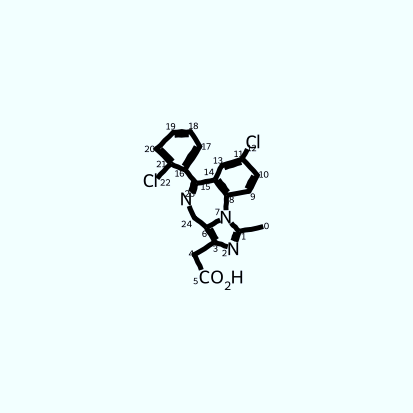 Cc1nc(CC(=O)O)c2n1-c1ccc(Cl)cc1C(c1ccccc1Cl)=NC2